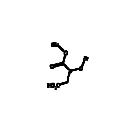 CCON(CC(=O)O)C(=O)OC(C)(C)C